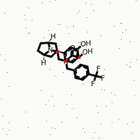 O=C(CO)N(CCN1[C@@H]2CC[C@H]1C[C@@H](c1cccc(O)c1)C2)Cc1ccc(C(F)(F)F)cc1